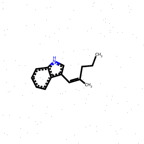 CCC/C(C)=C\c1c[nH]c2ccccc12